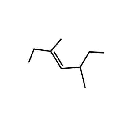 CCC(C)=CC(C)CC